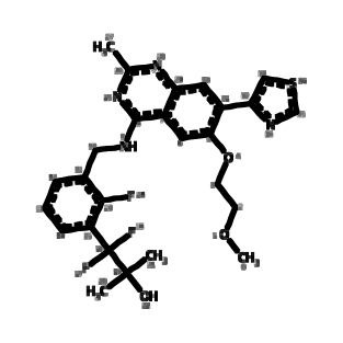 COCCOc1cc2c(NCc3cccc(C(F)(F)C(C)(C)O)c3F)nc(C)nc2cc1-c1cscn1